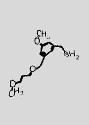 BCc1cc(COCCCOC)cc(OC)c1